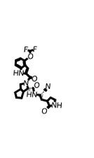 N#C[C@H](CC1CCNC1=O)NC(=O)[C@@H]1C2CCCC2CN1C(=O)c1cc2c(OC(F)F)cccc2[nH]1